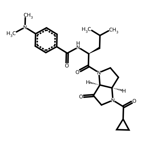 CC(C)C[C@H](NC(=O)c1ccc(N(C)C)cc1)C(=O)N1CC[C@@H]2[C@H]1C(=O)CN2C(=O)C1CC1